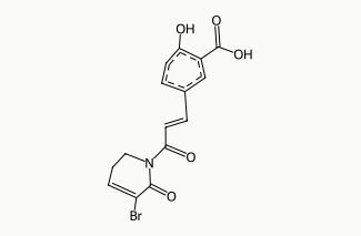 O=C(O)c1cc(C=CC(=O)N2CCC=C(Br)C2=O)ccc1O